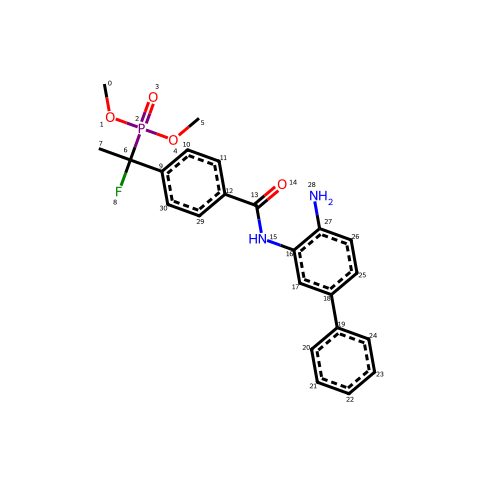 COP(=O)(OC)C(C)(F)c1ccc(C(=O)Nc2cc(-c3ccccc3)ccc2N)cc1